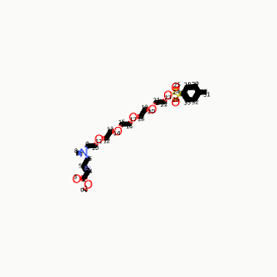 COC(=O)/C=C/CN(C)CCOCCOCCOCCOCCOS(=O)(=O)c1ccc(C)cc1